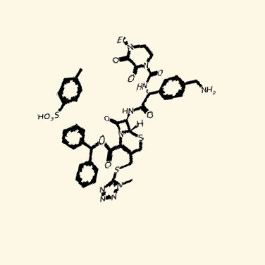 CCN1CCN(C(=O)N[C@@H](C(=O)N[C@@H]2C(=O)N3C(C(=O)OC(c4ccccc4)c4ccccc4)=C(CSc4nnnn4C)CS[C@@H]23)c2ccc(CN)cc2)C(=O)C1=O.Cc1ccc(S(=O)(=O)O)cc1